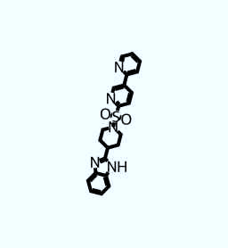 O=S(=O)(c1ccc(-c2ccccn2)cn1)N1CCC(c2nc3ccccc3[nH]2)CC1